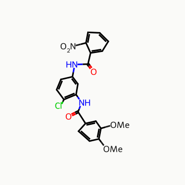 COc1ccc(C(=O)Nc2cc(NC(=O)c3ccccc3[N+](=O)[O-])ccc2Cl)cc1OC